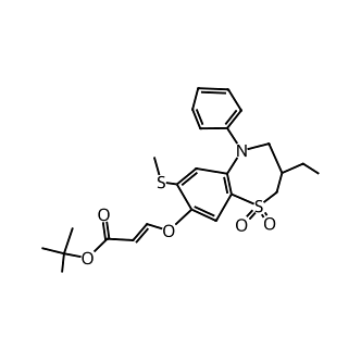 CCC1CN(c2ccccc2)c2cc(SC)c(O/C=C/C(=O)OC(C)(C)C)cc2S(=O)(=O)C1